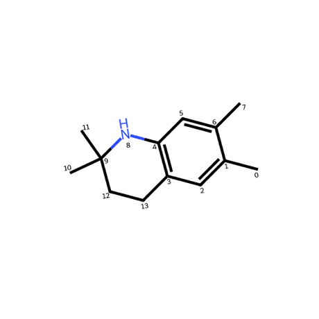 Cc1cc2c(cc1C)NC(C)(C)CC2